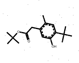 Cc1cc(C(C)(C)C)c(O)cc1CC(=O)OC(C)(C)C